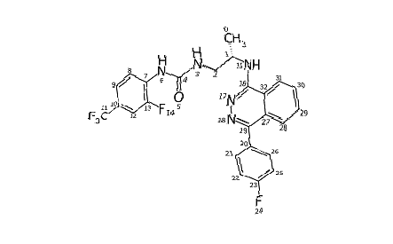 C[C@@H](CNC(=O)Nc1ccc(C(F)(F)F)cc1F)Nc1nnc(-c2ccc(F)cc2)c2ccccc12